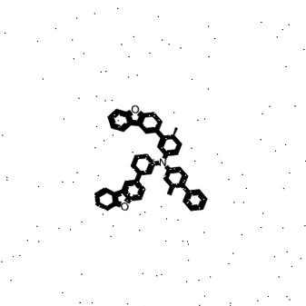 CC1CC(N(C2=CC[C@H](C)C(C3=Cc4c(oc5ccccc45)CC3)=C2)C2=CC(c3ccc4oc5c(c4c3)C=CCC5)CCC2)=CC=C1c1ccccc1